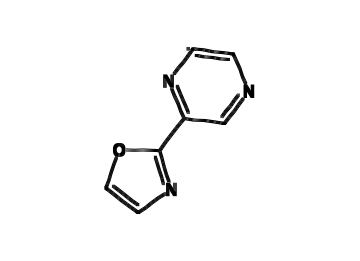 [c]1cncc(-c2ncco2)n1